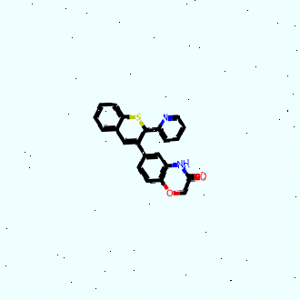 O=C1COc2ccc(C3=Cc4ccccc4SC3c3ccccn3)cc2N1